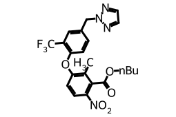 CCCCOC(=O)c1c([N+](=O)[O-])ccc(Oc2ccc(Cn3nccn3)cc2C(F)(F)F)c1C